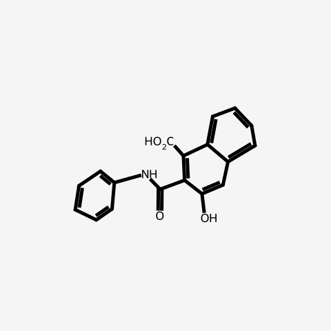 O=C(Nc1ccccc1)c1c(O)cc2ccccc2c1C(=O)O